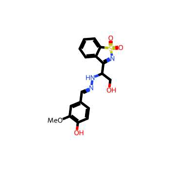 COc1cc(/C=N/NC(CO)C2=NS(=O)(=O)c3ccccc32)ccc1O